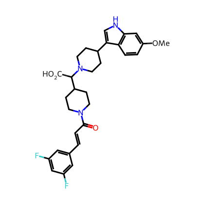 COc1ccc2c(C3CCN(C(C(=O)O)C4CCN(C(=O)C=Cc5cc(F)cc(F)c5)CC4)CC3)c[nH]c2c1